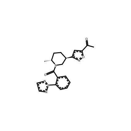 CC(=O)c1cc([C@@H]2CC[C@@H](C)N(C(=O)c3ccccc3-n3nccn3)C2)no1